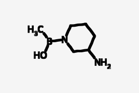 CB(O)N1CCCC(N)C1